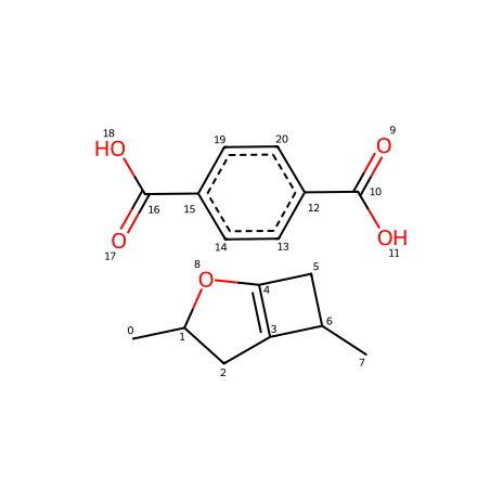 CC1CC2=C(CC2C)O1.O=C(O)c1ccc(C(=O)O)cc1